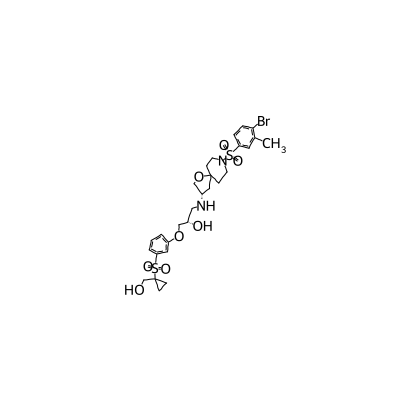 Cc1cc(S(=O)(=O)N2CCC3(CC2)C[C@H](NC[C@H](O)COc2cccc(S(=O)(=O)C4(CO)CC4)c2)CO3)ccc1Br